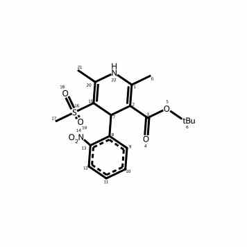 CC1=C(C(=O)OC(C)(C)C)C(c2ccccc2[N+](=O)[O-])C(S(C)(=O)=O)=C(C)N1